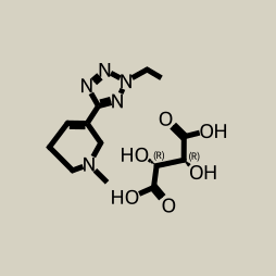 CCn1nnc(C2=CCCN(C)C2)n1.O=C(O)[C@H](O)[C@@H](O)C(=O)O